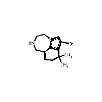 CC1(C)CC=C2CNCCn3cc(Br)c1c32